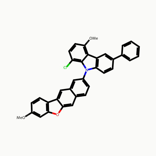 COc1ccc2c(c1)oc1cc3ccc(-n4c5ccc(-c6ccccc6)cc5c5c(OC)ccc(Cl)c54)cc3cc12